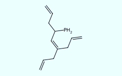 C=CCC(=CC(P)CC=C)CC=C